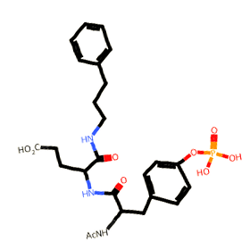 CC(=O)NC(Cc1ccc(OP(=O)(O)O)cc1)C(=O)NC(CCC(=O)O)C(=O)NCCCc1ccccc1